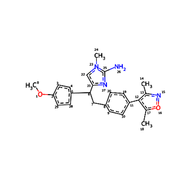 COc1ccc(C(Cc2ccc(-c3c(C)noc3C)cc2)c2cn(C)c(N)n2)cc1